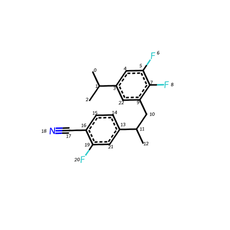 CC(C)c1cc(F)c(F)c(CC(C)c2ccc(C#N)c(F)c2)c1